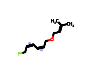 CC(C)=CCOC/C=C\C=C/CF